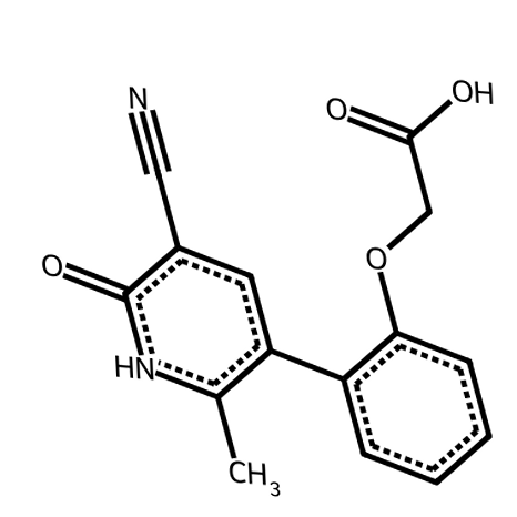 Cc1[nH]c(=O)c(C#N)cc1-c1ccccc1OCC(=O)O